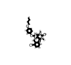 CCCCOc1ccc(Oc2nc3c(c(=O)n(C)c(=O)n3C)n2Cc2c(Cl)cccc2Cl)cc1